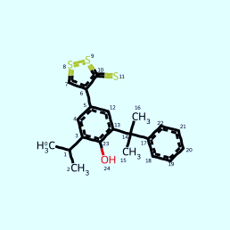 CC(C)c1cc(-c2cssc2=S)cc(C(C)(C)c2ccccc2)c1O